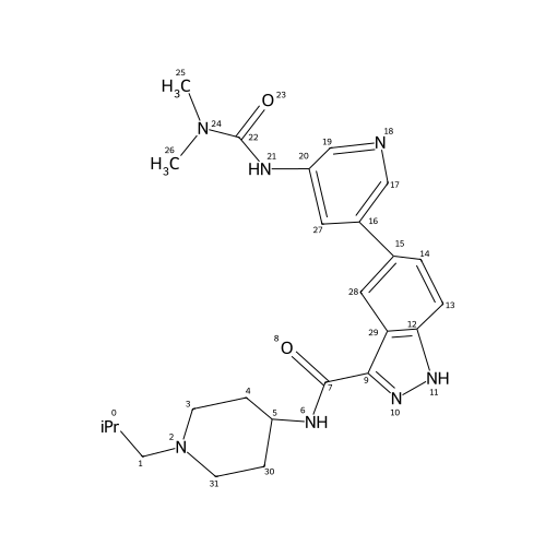 CC(C)CN1CCC(NC(=O)c2n[nH]c3ccc(-c4cncc(NC(=O)N(C)C)c4)cc23)CC1